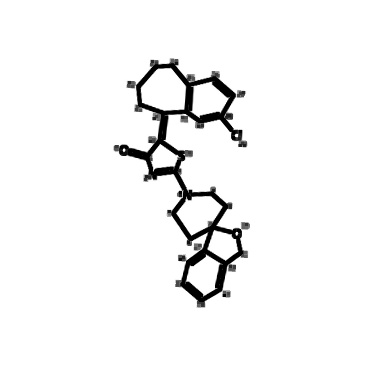 O=C1N=C(N2CCC3(CC2)OCc2ccccc23)S/C1=C1/CCCCc2ccc(Cl)cc21